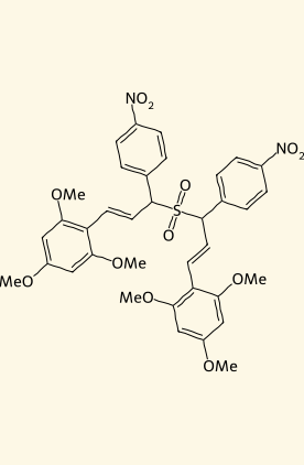 COc1cc(OC)c(C=CC(c2ccc([N+](=O)[O-])cc2)S(=O)(=O)C(C=Cc2c(OC)cc(OC)cc2OC)c2ccc([N+](=O)[O-])cc2)c(OC)c1